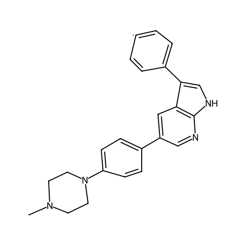 CN1CCN(c2ccc(-c3cnc4[nH]cc(-c5cc[c]cc5)c4c3)cc2)CC1